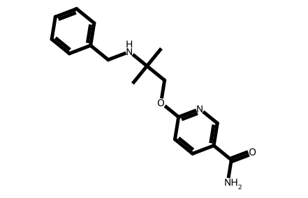 CC(C)(COc1ccc(C(N)=O)cn1)NCc1ccccc1